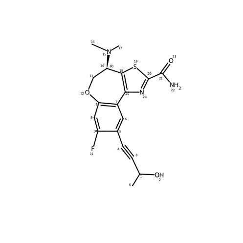 CC(O)C#Cc1cc2c(cc1F)OC[C@@H](N(C)C)c1sc(C(N)=O)nc1-2